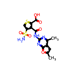 Cc1cc2c(C)nc(NC(=O)c3c(S(N)(=O)=O)csc3C(=O)O)nc2o1